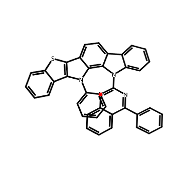 c1ccc(-c2nc(-n3c4ccccc4c4ccc5c6sc7ccccc7c6n(-c6ccccc6)c5c43)nc3ccccc23)cc1